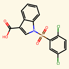 O=C(O)c1cn(S(=O)(=O)c2cc(Cl)ccc2Cl)c2ccccc12